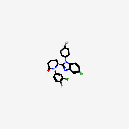 C[C@]1(O)CC[C@@H](n2c([C@@H]3CCCC(=O)N3c3ccc(F)c(F)c3)nc3cc(Br)ccc32)CC1